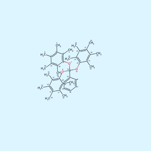 Cc1c(C)c(C)c(O[Si](Oc2c(C)c(C)c(C)c(C)c2C)(Oc2c(C)c(C)c(C)c(C)c2C)c2ccccc2)c(C)c1C